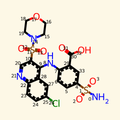 NS(=O)(=O)c1ccc(Nc2c(S(=O)(=O)N3CCOCC3)cnc3ccc(Cl)cc23)c(C(=O)O)c1